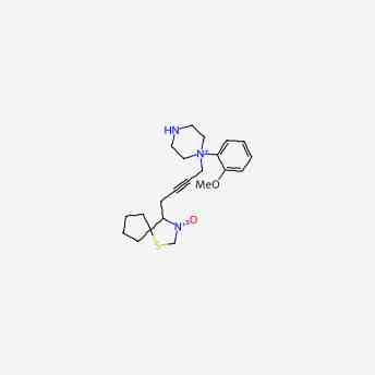 COc1ccccc1[N+]1(CC#CCC2[N+](=O)CSC23CCCC3)CCNCC1